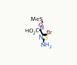 CSCO/N=C(\C(=O)O)c1nc(N)sc1Br